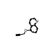 C#CCOc1cccc2ncccc12